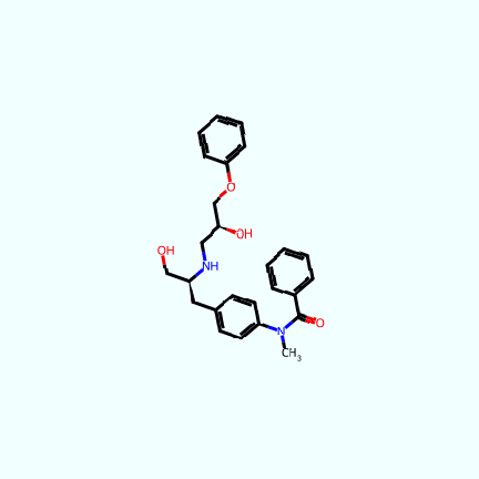 CN(C(=O)c1ccccc1)c1ccc(C[C@@H](CO)NC[C@H](O)COc2ccccc2)cc1